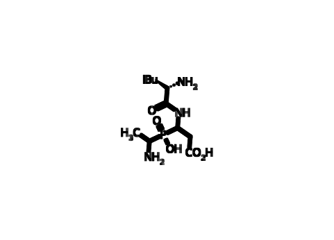 CC[C@H](C)[C@H](N)C(=O)NC(CC(=O)O)P(=O)(O)C(C)N